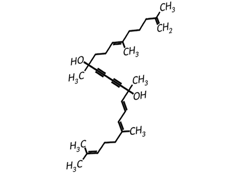 C=C(C)CCC/C(C)=C/CCC(C)(O)C#CC#CC(C)(O)/C=C/C=C(\C)CCC=C(C)C